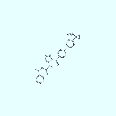 CC(OC(=O)Nc1conc1C(=O)c1ccc(-c2ccc(C3(C(=O)O)CC3)cc2)cc1)c1ccccc1